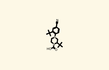 CC(C)(C)c1cc(C#N)ccc1N1CCN(C(=O)O)C(C(C)(C)C)C1